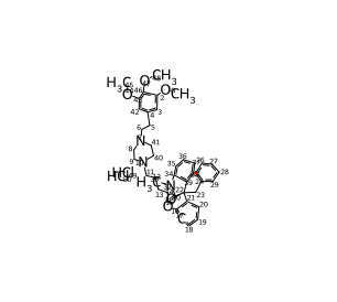 COc1cc(CCN2CCN(CCCCOc3ccccc3C3(Cc4ccccc4)C(=O)N(C)c4ccccc43)CC2)cc(OC)c1OC.Cl.Cl